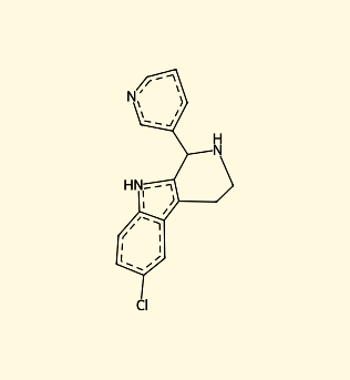 Clc1ccc2[nH]c3c(c2c1)CCNC3c1cccnc1